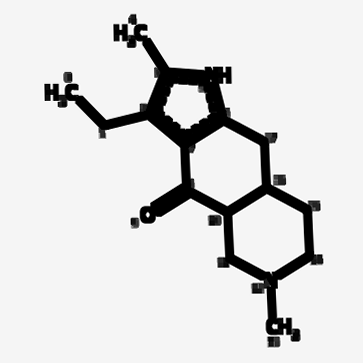 CCc1c(C)[nH]c2c1C(=O)C1CN(C)CCC1C2